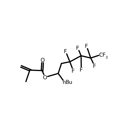 C=C(C)C(=O)OC(CCCC)CC(F)(F)C(F)(F)C(F)(F)C(F)(F)F